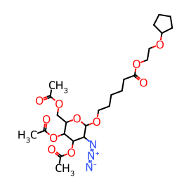 CC(=O)OCC1OC(OCCCCCC(=O)OCCOC2CCCC2)C(N=[N+]=[N-])C(OC(C)=O)C1OC(C)=O